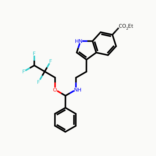 CCOC(=O)c1ccc2c(CCNC(OCC(F)(F)C(F)F)c3ccccc3)c[nH]c2c1